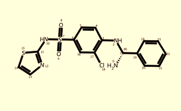 N[C@H](Nc1ccc(S(=O)(=O)Nc2nccs2)cc1Cl)c1ccccc1